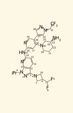 CC(C)n1nc(N2CC(C(F)F)C2)c2ccc(Nc3cc(N4CCC[C@H](N)C4)c(-c4cnn(CC(F)(F)F)c4)cn3)nc21